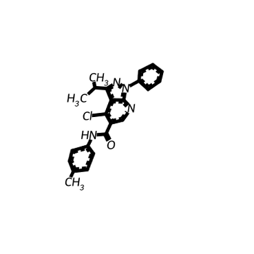 Cc1ccc(NC(=O)c2cnc3c(c(C(C)C)nn3-c3ccccc3)c2Cl)cc1